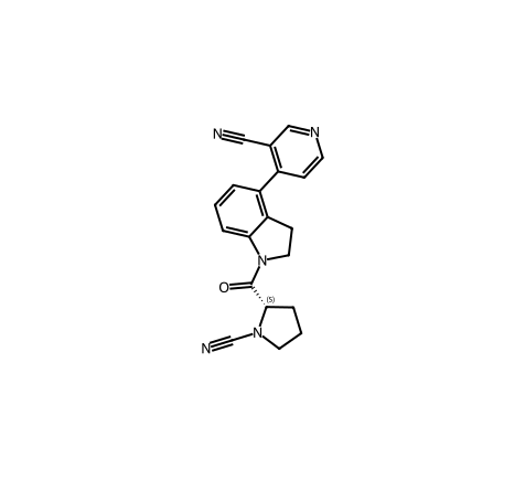 N#Cc1cnccc1-c1cccc2c1CCN2C(=O)[C@@H]1CCCN1C#N